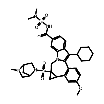 COc1ccc2c(c1)C1CC1(S(=O)(=O)N1CC3CC1CN3C)Cn1c-2c(C2CCCCC2)c2ccc(C(=O)NS(=O)(=O)N(C)C)cc21